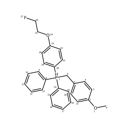 COc1ccc(C[PH](c2ccccc2)(c2ccccc2)c2ccc(OCCF)cc2)cc1